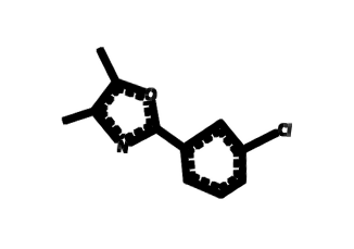 Cc1nc(-c2cccc(Cl)c2)oc1C